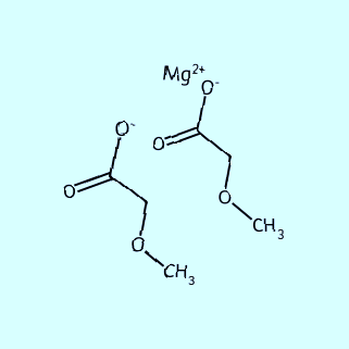 COCC(=O)[O-].COCC(=O)[O-].[Mg+2]